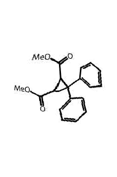 COC(=O)C1C(C(=O)OC)C1(c1ccccc1)c1ccccc1